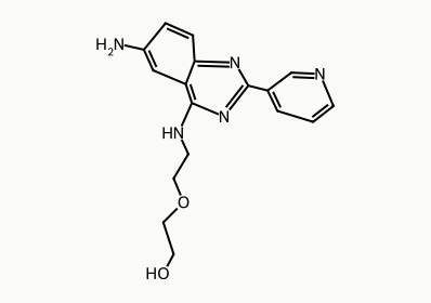 Nc1ccc2nc(-c3cccnc3)nc(NCCOCCO)c2c1